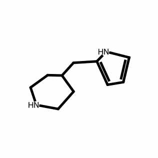 c1c[nH]c(CC2CCNCC2)c1